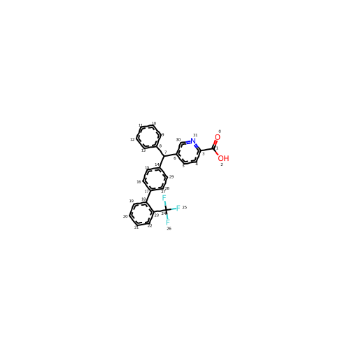 O=C(O)c1ccc(C(c2ccccc2)c2ccc(-c3ccccc3C(F)(F)F)cc2)cn1